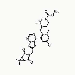 Cc1cc(Cl)cc(-c2ncnn3cc(CN4C(=O)C5C(C4=O)C5(C)C)cc23)c1CN1CCN(C(=O)OC(C)(C)C)C[C@@H]1C